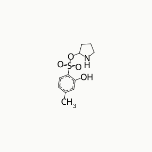 Cc1ccc(S(=O)(=O)OC2CCCN2)c(O)c1